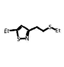 CCSCCc1cc(CC)sn1